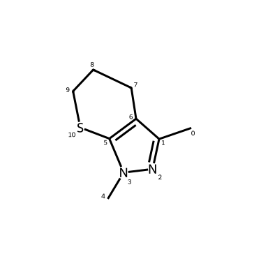 Cc1nn(C)c2c1CCCS2